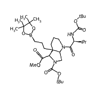 COC(=O)C1N(C(=O)OC(C)(C)C)CC2N(C(=O)[C@@H](NC(=O)OC(C)(C)C)C(C)C)CCCC21CCCB1OC(C)(C)C(C)(C)O1